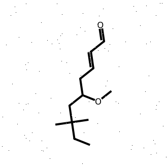 CCC(C)(C)CC(CC=CC=O)OC